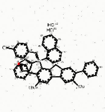 CC(C)(C)c1cc2c(cc1-c1ccccc1)Cc1c-2cc(C(C)(C)C)c(-c2ccccc2)[c]1[Zr](=[CH]c1ccc(Cl)cc1)([C]1=CC=CC1)[c]1cccc2ccccc12.Cl.Cl